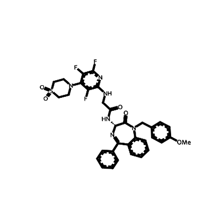 COc1ccc(CN2C(=O)[C@@H](NC(=O)CNc3nc(F)c(F)c(N4CCS(=O)(=O)CC4)c3F)N=C(c3ccccc3)c3ccccc32)cc1